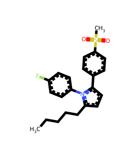 CCCCCc1ccc(-c2ccc(S(C)(=O)=O)cc2)n1-c1ccc(F)cc1